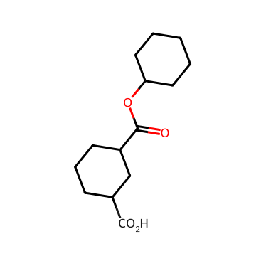 O=C(O)C1CCCC(C(=O)OC2CCCCC2)C1